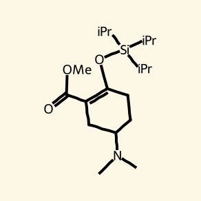 COC(=O)C1=C(O[Si](C(C)C)(C(C)C)C(C)C)CCC(N(C)C)C1